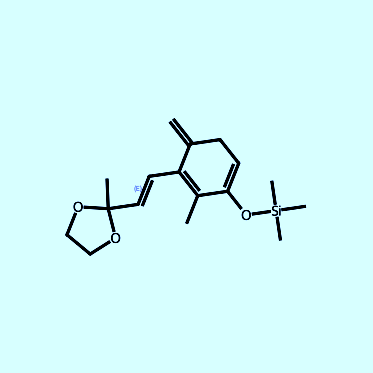 C=C1CC=C(O[Si](C)(C)C)C(C)=C1/C=C/C1(C)OCCO1